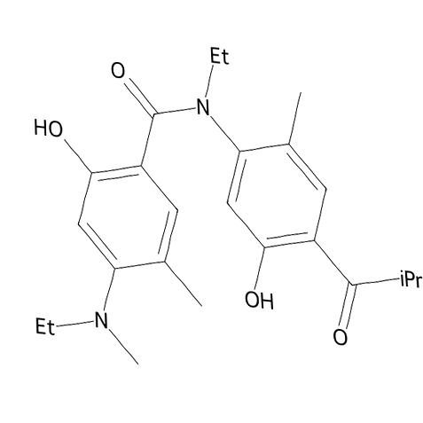 CCN(C)c1cc(O)c(C(=O)N(CC)c2cc(O)c(C(=O)C(C)C)cc2C)cc1C